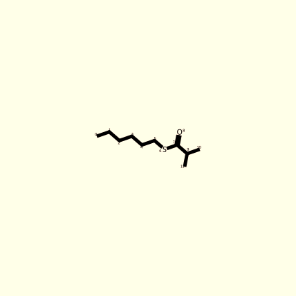 CCCCCCSC(=O)C(C)C